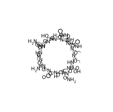 CCCC[C@H]1C(=O)N(C)[C@@H](CCCC)C(=O)N[C@@H](CCC(=O)O)C(=O)N[C@H](C(=O)NCC(N)=O)CSCC(=O)N[C@@H](Cc2ccc(OC)cc2)C(=O)N(C)[C@@H](C)C(=O)N[C@@H](CCN)C(=O)N2CCC[C@H]2C(=O)N[C@@H](Cc2cnc[nH]2)C(=O)N[C@@H](CCCCN)C(=O)N2C[C@H](O)C[C@H]2C(=O)N[C@@H](Cc2c[nH]c3ccccc23)C(=O)N[C@@H](CC(=O)O)C(=O)N[C@@H](Cc2c[nH]c3ccccc23)C(=O)N1C